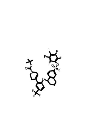 CC(C)(C)OC(=O)N1CC=C(c2cc(C(F)(F)F)ccc2OC2CCCc3cc(S(=O)(=O)Oc4c(F)c(F)c(F)c(F)c4F)ccc32)CC1